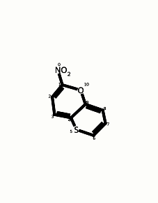 O=[N+]([O-])C1=CC=C2SC=CC=C2O1